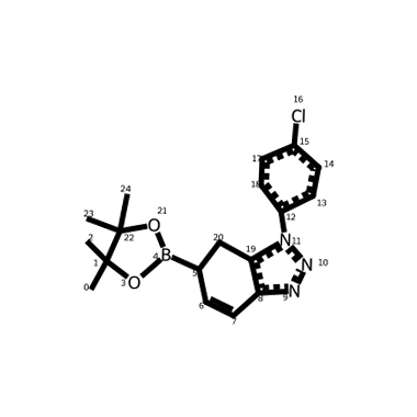 CC1(C)OB(C2C=Cc3nnn(-c4ccc(Cl)cc4)c3C2)OC1(C)C